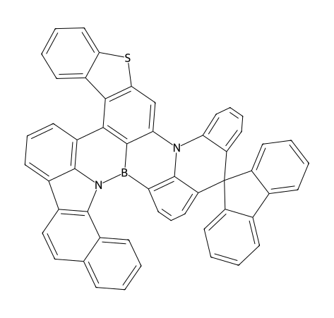 c1ccc2c(c1)-c1ccccc1C21c2ccccc2N2c3cc4sc5ccccc5c4c4c3B(c3cccc1c32)n1c2c-4cccc2c2ccc3ccccc3c21